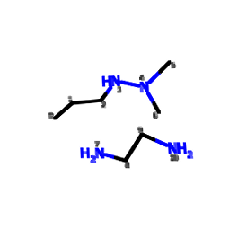 CCCNN(C)C.NCCN